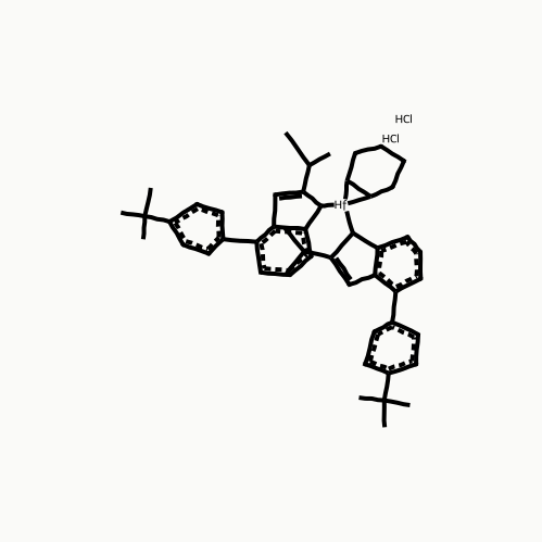 CC(C)C1=Cc2c(-c3ccc(C(C)(C)C)cc3)cccc2[CH]1[Hf]1([CH]2C(C(C)C)=Cc3c(-c4ccc(C(C)(C)C)cc4)cccc32)[CH]2CCCC[CH]21.Cl.Cl